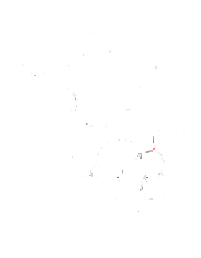 c1ccc(-c2cccc(-n3c4ccccc4c4ccc(-n5c6cccc(-n7c8ccccc8c8ccccc87)c6c6c([Si](c7ccccc7)(c7ccccc7)c7ccccc7)cccc65)cc43)c2)cc1